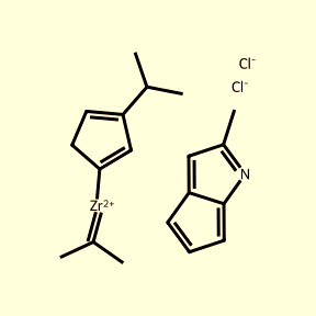 CC1=NC2=CC=CC2=C1.C[C](C)=[Zr+2][C]1=CC(C(C)C)=CC1.[Cl-].[Cl-]